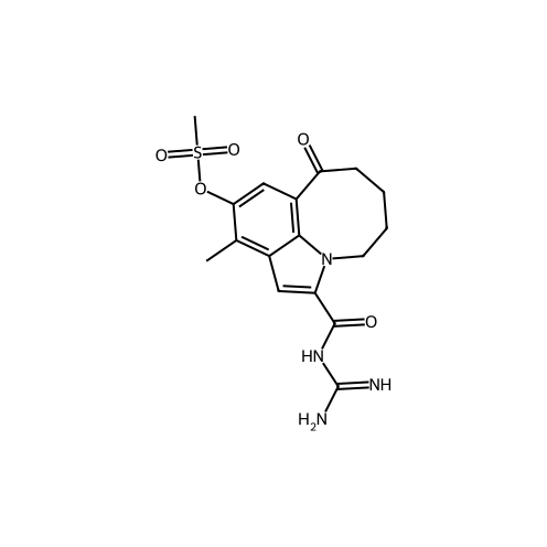 Cc1c(OS(C)(=O)=O)cc2c3c1cc(C(=O)NC(=N)N)n3CCCCC2=O